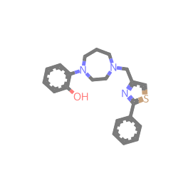 Oc1ccccc1N1CCCN(Cc2csc(-c3ccccc3)n2)CC1